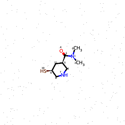 CN(C)C(=O)[C@H]1CNC[C@@H](S)C1